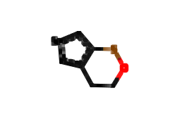 c1[se]cc2c1CCOS2